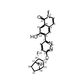 Cn1ccc2cc(-c3ccc(O[C@@H]4CC5CCC(N5)[C@@H]4F)nn3)c(O)cc2c1=O